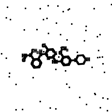 COc1cc(N2CCNCC2)ccc1Nc1ncc(Cl)c(Nc2ccccc2N(C)[SH]=O)n1